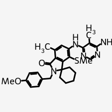 COc1ccc(CN2C(=O)c3c(C)cc(Nc4ncnc(N)c4C)c(SC)c3C23CCCCC3)cc1